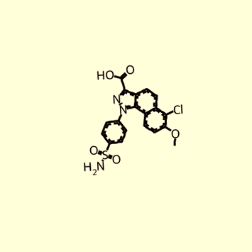 COc1ccc2c(ccc3c(C(=O)O)nn(-c4ccc(S(N)(=O)=O)cc4)c32)c1Cl